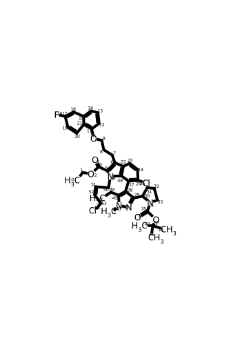 CCOC(=O)c1c(CCCOc2cccc3cc(F)ccc23)c2ccc(Cl)c(-c3c(C4CCCN4C(=O)OC(C)(C)C)nn(C)c3CC)c2n1C/C=C\CCl